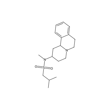 CC(C)CS(=O)(=O)N(C)C1CCN2CCc3ccccc3C2C1